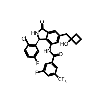 O=C(Nc1cc(CC2(O)CCC2)cc2c1[C@@H](c1cc(F)ccc1Cl)NC2=O)c1cc(F)cc(C(F)(F)F)c1